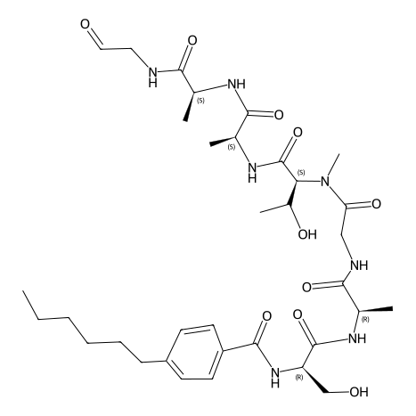 CCCCCCc1ccc(C(=O)N[C@H](CO)C(=O)N[C@H](C)C(=O)NCC(=O)N(C)[C@H](C(=O)N[C@@H](C)C(=O)N[C@@H](C)C(=O)NCC=O)C(C)O)cc1